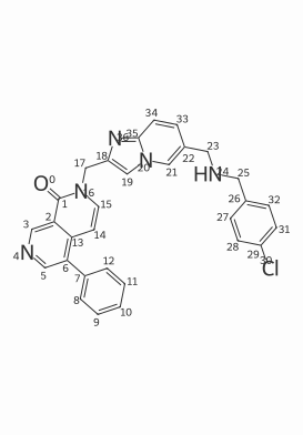 O=c1c2cncc(-c3ccccc3)c2ccn1Cc1cn2cc(CNCc3ccc(Cl)cc3)ccc2n1